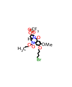 C=CCOC(=O)N1C[C@@H]2CC(OS(=O)(=O)C(F)(F)F)=CN2C(=O)c2cc(OC)c(OCCCCCBr)cc21